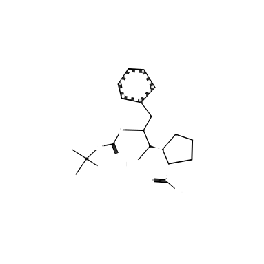 CC(C)(C)OC(=O)NC(Cc1ccccc1)C(O)[C@H]1CCC[C@@H]1C(=O)O